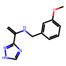 C=C(NCc1cccc(OC)c1)c1nc[nH]n1